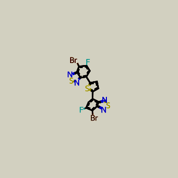 Fc1cc(-c2ccc(-c3cc(F)c(Br)c4nsnc34)s2)c2nsnc2c1Br